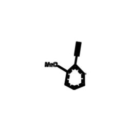 C#Cc1[c]cccc1OC